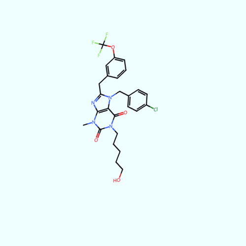 Cn1c(=O)n(CCCCCO)c(=O)c2c1nc(Cc1cccc(OC(F)(F)F)c1)n2Cc1ccc(Cl)cc1